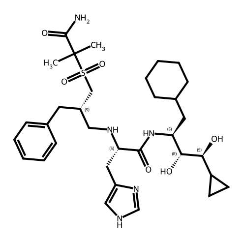 CC(C)(C(N)=O)S(=O)(=O)C[C@H](CN[C@@H](Cc1c[nH]cn1)C(=O)N[C@@H](CC1CCCCC1)[C@@H](O)[C@@H](O)C1CC1)Cc1ccccc1